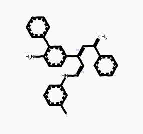 C=C(/C=C(\C=C/Nc1cccc(I)c1)c1ccc(N)c(-c2ccccc2)c1)c1ccccc1